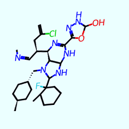 C=C(Cl)C[C@H](/C=N\C)[C@H]1N=C(C2=NNC(O)O2)NC2NC(C3(F)CCCCC3C)N(C[C@H]3CC[C@H](C)CC3)C21